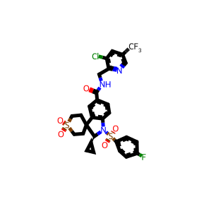 O=C(NCc1ncc(C(F)(F)F)cc1Cl)c1ccc2c(c1)C1(CCS(=O)(=O)CC1)[C@H](C1CC1)N2S(=O)(=O)c1ccc(F)cc1